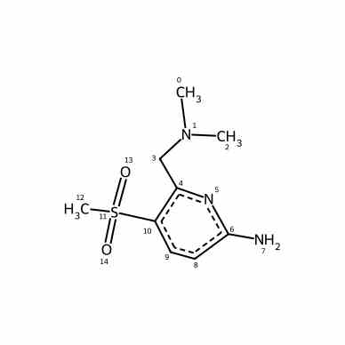 CN(C)Cc1nc(N)ccc1S(C)(=O)=O